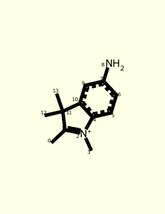 CC1=[N+](C)c2ccc(N)cc2C1(C)C